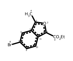 CCOC(=O)c1oc(C)c2cc(Br)ccc12